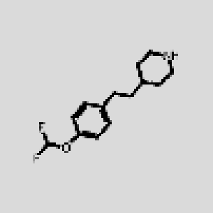 FC(F)Oc1ccc(CCC2CCNCC2)cc1